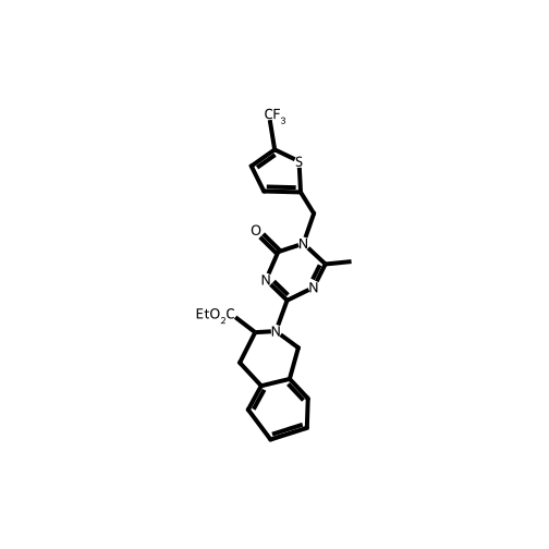 CCOC(=O)C1Cc2ccccc2CN1c1nc(C)n(Cc2ccc(C(F)(F)F)s2)c(=O)n1